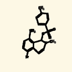 Cc1ccc(S(=O)(=O)OC2c3c([N+](=O)[O-])ccc(Br)c3C=CN2C)cc1